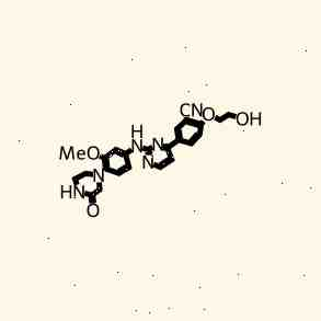 COc1cc(Nc2nccc(-c3ccc(OCCO)c(C#N)c3)n2)ccc1N1CCNC(=O)C1